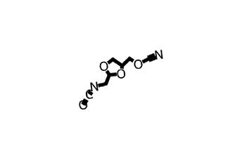 N#COCC1COC(CN=C=O)O1